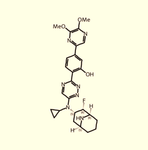 COc1ncc(-c2ccc(-c3ncc(N(C4CC4)[C@H]4C[C@@H]5CCC[C@@H](N5)[C@H]4F)nn3)c(O)c2)nc1OC